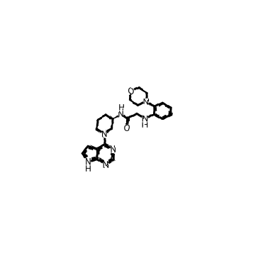 O=C(CNc1ccccc1N1CCOCC1)N[C@@H]1CCCN(c2ncnc3[nH]ccc23)C1